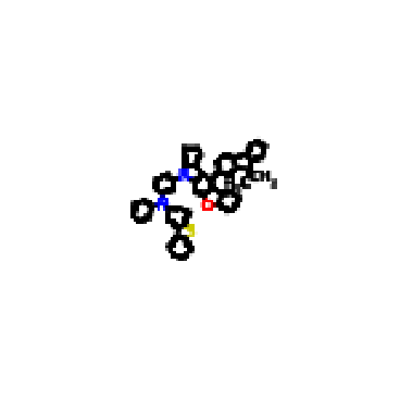 CC1(C)c2ccccc2-c2ccc(-c3c4c(cc5c3c3ccccc3n5-c3cccc(N(c5ccccc5)c5ccc6sc7ccccc7c6c5)c3)oc3ccccc34)cc21